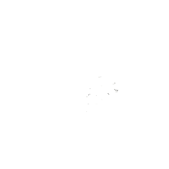 CCCCCCCCCCCC(C)(SC(C)(CCCCCCCCCCC)C(=O)O)C(=O)O